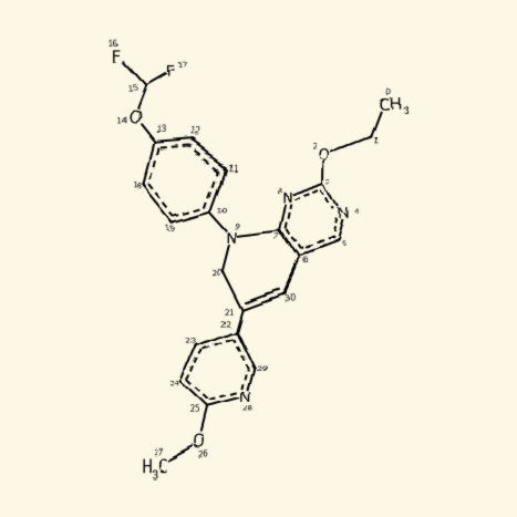 CCOc1ncc2c(n1)N(c1ccc(OC(F)F)cc1)CC(c1ccc(OC)nc1)=C2